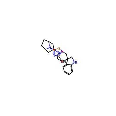 Cc1nsc(N2C3CCC2CC(N2CCC4(CC2)CNc2ccccc24)C3)n1